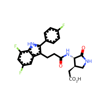 O=C(O)C[C@@H]1CNC(=O)[C@H]1NC(=O)CCc1c(-c2ccc(F)cc2)[nH]c2c(F)cc(F)cc12